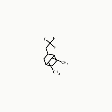 CC1C2CCC(C(CC(F)(F)F)C2)C1C